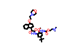 COc1c(NC(=O)OCCN(C)C)cc(C(C)(C)C)cc1NC(=O)C(=O)c1ccc(OCCN2CCOCC2)c2ccccc12